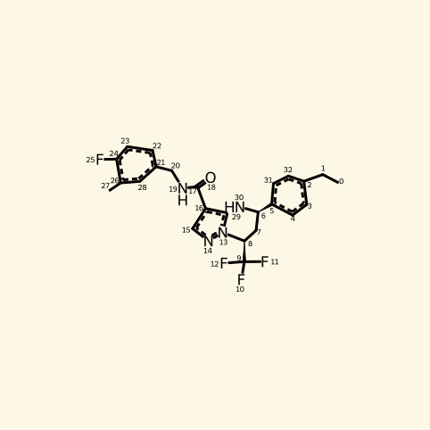 CCc1ccc([C@H]2C[C@@H](C(F)(F)F)n3ncc(C(=O)NCc4ccc(F)c(C)c4)c3N2)cc1